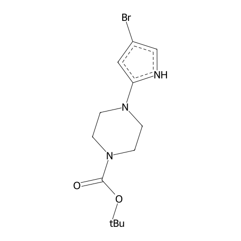 CC(C)(C)OC(=O)N1CCN(c2cc(Br)c[nH]2)CC1